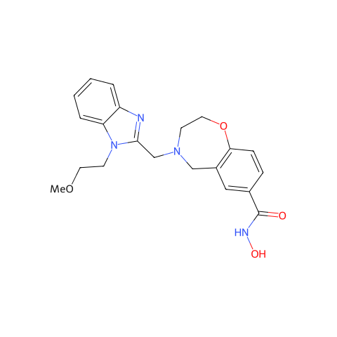 COCCn1c(CN2CCOc3ccc(C(=O)NO)cc3C2)nc2ccccc21